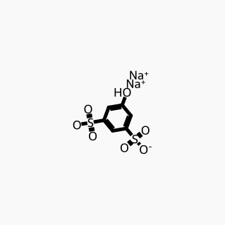 O=S(=O)([O-])c1cc(O)cc(S(=O)(=O)[O-])c1.[Na+].[Na+]